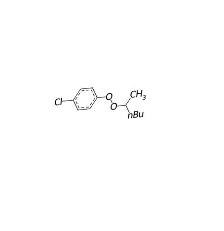 CCCCC(C)OOc1ccc(Cl)cc1